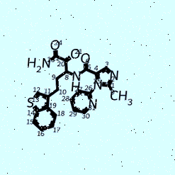 Cc1ncc(C(=O)NC(CCc2csc3ccccc23)C(=O)C(N)=O)n1-c1ccccn1